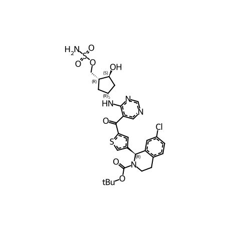 CC(C)(C)OC(=O)N1CCc2ccc(Cl)cc2[C@@H]1c1csc(C(=O)c2cncnc2N[C@@H]2C[C@H](COS(N)(=O)=O)[C@@H](O)C2)c1